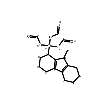 CC1C2=C(CCCC2)C2=C1[CH]([Ti]([O]C=O)([O]C=O)[O]C=O)CCC2